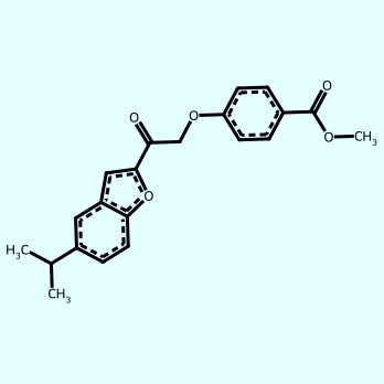 COC(=O)c1ccc(OCC(=O)c2cc3cc(C(C)C)ccc3o2)cc1